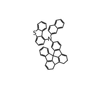 C1=CC2=C3C(C1)C1=C4C(=CCC1)c1ccc(N(c5ccc6ccccc6c5)c5cccc6sc7ccccc7c56)cc1C43c1ccccc12